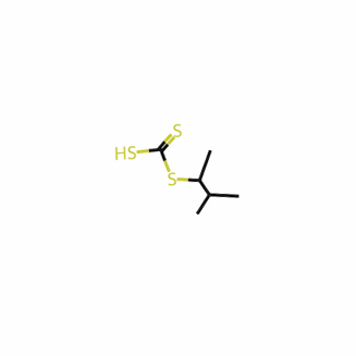 CC(C)C(C)SC(=S)S